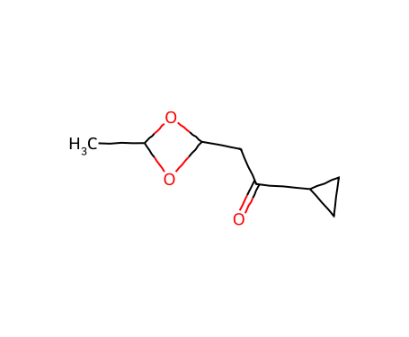 CC1OC(CC(=O)C2CC2)O1